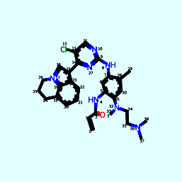 C=CC(=O)Nc1cc(Nc2ncc(Cl)c(-c3cn4c5c(cccc35)CCC4)n2)c(C)cc1N(C)CCN(C)C